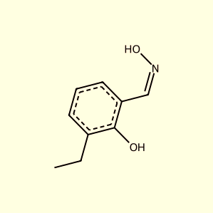 CCc1cccc(/C=N\O)c1O